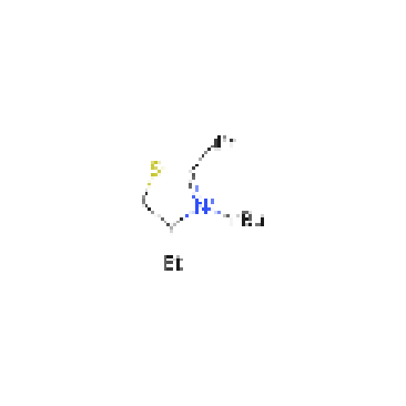 CCCC[N+]1=C(C(C)C)SCC1CC